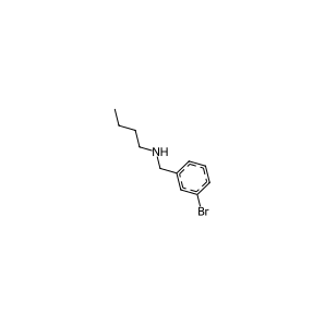 CCCCNCc1cccc(Br)c1